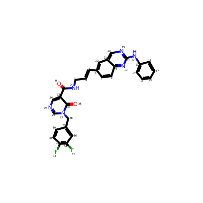 O=C(NC/C=C/c1ccc2nc(Nc3ccccc3)ncc2c1)c1cncn(Cc2ccc(F)c(F)c2)c1=O